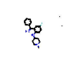 CN1CCC(Nc2ccc(F)cc2C(=N)c2ccccc2)CC1